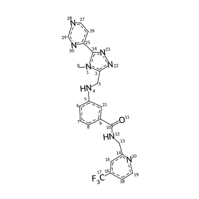 Cn1c(CNc2cccc(C(=O)NCc3cc(C(F)(F)F)ccn3)c2)nnc1-c1ccncn1